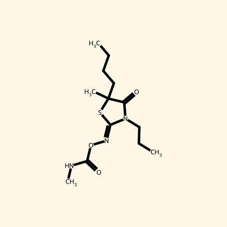 CCCCC1(C)SC(=NOC(=O)NC)N(CCC)C1=O